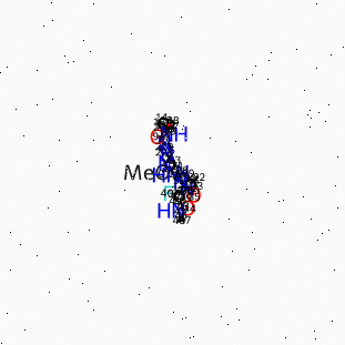 COc1nc(N2CCN(C(=O)NC34CC5CC(CC(C5)C3)C4)CC2)ccc1Nc1ncc2c(C)cc(=O)n(-c3cc(F)cc(C(=O)NC4CC4)c3)c2n1